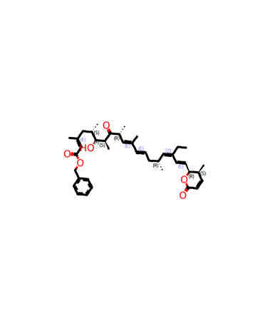 CCC(=C/[C@H](C)C/C=C/C(C)=C/[C@@H](C)C(=O)[C@@H](C)[C@H](O)[C@@H](C)C/C(C)=C/C(=O)OCc1ccccc1)/C=C/[C@@H]1OC(=O)C=C[C@@H]1C